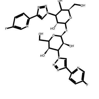 OCC1O[C@@H](SC2O[C@H](CO)C(O)C(n3cc(-c4ccc(F)cn4)nn3)[C@H]2O)[C@@H](O)C(n2cc(-c3ccc(F)cn3)nn2)[C@H]1O